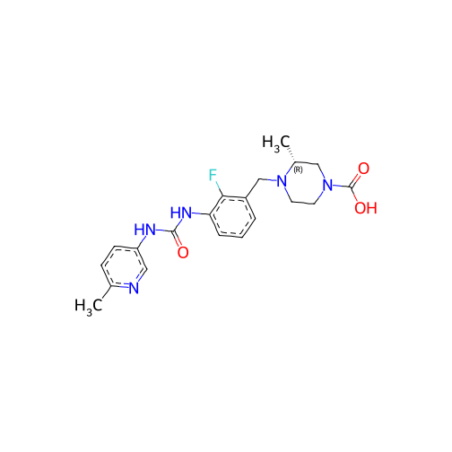 Cc1ccc(NC(=O)Nc2cccc(CN3CCN(C(=O)O)C[C@H]3C)c2F)cn1